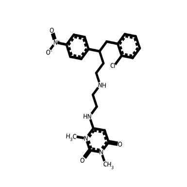 Cn1c(NCCNCCC(Cc2ccccc2Cl)c2ccc([N+](=O)[O-])cc2)cc(=O)n(C)c1=O